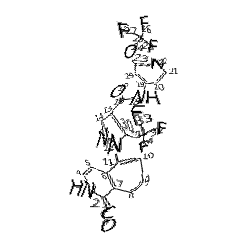 O=C=C1NC=Cc2c1cccc2-n1ncc(C(=O)Nc2ccnc(OC(F)(F)F)c2)c1C(F)(F)F